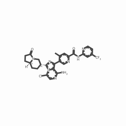 Cc1cc(C(=O)Nc2cc(C(F)(F)F)ccn2)ncc1-c1nc([C@@H]2CC[C@H]3CCC(=O)N3C2)n2c(Cl)cnc(N)c12